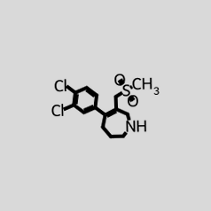 CS(=O)(=O)CC1=C(c2ccc(Cl)c(Cl)c2)CCCNC1